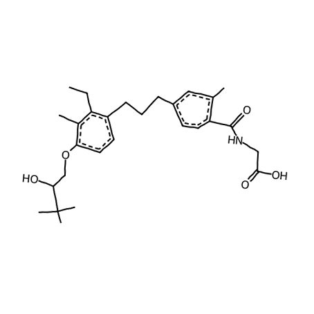 CCc1c(CCCc2ccc(C(=O)NCC(=O)O)c(C)c2)ccc(OCC(O)C(C)(C)C)c1C